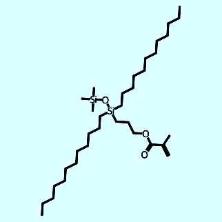 C=C(C)C(=O)OCCC[Si](CCCCCCCCCCCC)(CCCCCCCCCCCC)O[Si](C)(C)C